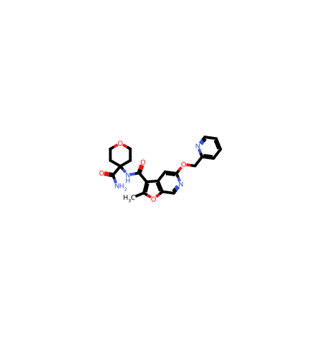 Cc1oc2cnc(OCc3ccccn3)cc2c1C(=O)NC1(C(N)=O)CCOCC1